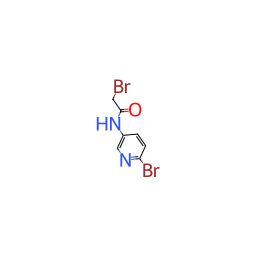 O=C(CBr)Nc1ccc(Br)nc1